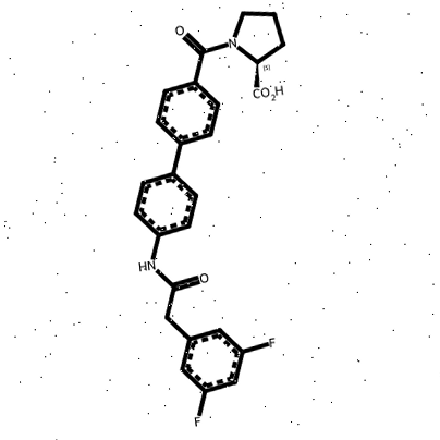 O=C(Cc1cc(F)cc(F)c1)Nc1ccc(-c2ccc(C(=O)N3CCC[C@H]3C(=O)O)cc2)cc1